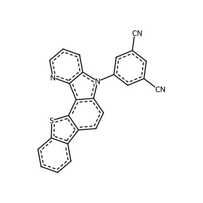 N#Cc1cc(C#N)cc(-n2c3cccnc3c3c4sc5ccccc5c4ccc32)c1